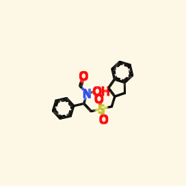 O=CN(O)C(CS(=O)(=O)CC1Cc2ccccc2C1)c1ccccc1